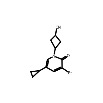 CCc1cc(C2CC2)cn(C2CC(C#N)C2)c1=O